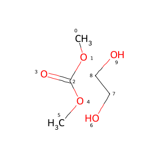 COC(=O)OC.OCCO